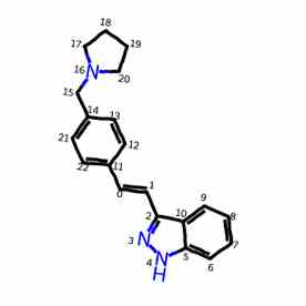 C(=Cc1n[nH]c2ccccc12)c1ccc(CN2CCCC2)cc1